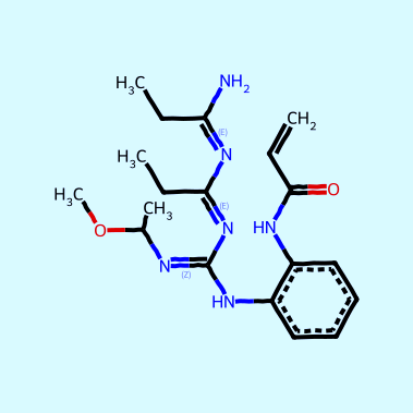 C=CC(=O)Nc1ccccc1NC(=N/C(C)OC)/N=C(CC)/N=C(/N)CC